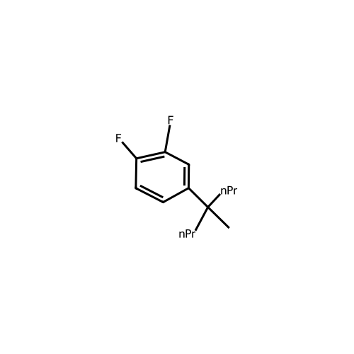 CCCC(C)(CCC)c1ccc(F)c(F)c1